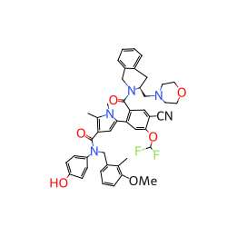 COc1cccc(CN(C(=O)c2cc(-c3cc(OC(F)F)c(C#N)cc3C(=O)N3Cc4ccccc4C[C@H]3CN3CCOCC3)n(C)c2C)c2ccc(O)cc2)c1C